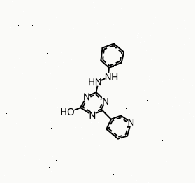 Oc1nc(NNc2ccccc2)nc(-c2cccnc2)n1